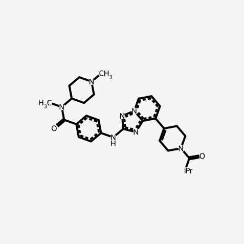 CC(C)C(=O)N1CC=C(c2cccn3nc(Nc4ccc(C(=O)N(C)C5CCN(C)CC5)cc4)nc23)CC1